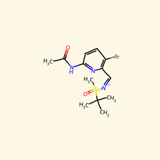 CC(=O)Nc1ccc(Br)c(/C=N\[SH](C)(=O)C(C)(C)C)n1